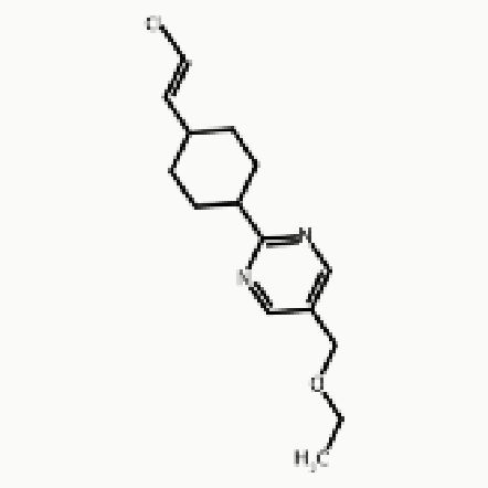 CCOCc1cnc(C2CCC(/C=C/Cl)CC2)nc1